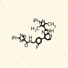 Cc1nn(C(C)C)c(C)c1-c1nc2c(-c3ccc(CNC(=O)c4nc(C(C)C)no4)c(F)c3)ccnc2[nH]1